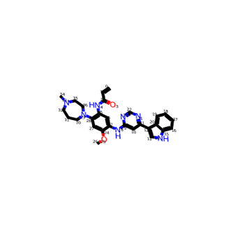 C=CC(=O)Nc1cc(Nc2cc(-c3c[nH]c4ccccc34)ncn2)c(OC)cc1N1CCCN(C)CC1